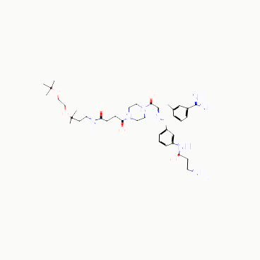 CC(C)(C)OCCOC(C)(C)CCNC(=O)CCC(=O)N1CCN(C(=O)[C@H](Cc2cccc(C(=N)N)c2)NSc2cccc(NC(=O)CCN)c2)CC1